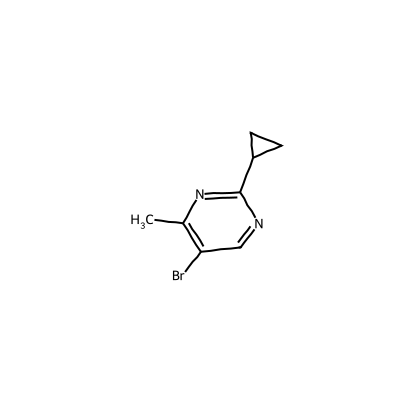 Cc1nc(C2CC2)ncc1Br